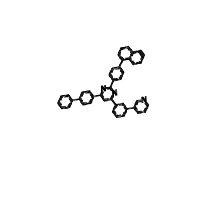 c1ccc2c(-c3ccc(-c4nc(-c5ccc(-c6ccccc6)cc5)cc(-c5cccc(-c6cccnc6)c5)n4)cc3)cccc2c#1